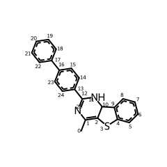 CC1=C2Sc3ccccc3C2NC(c2ccc(-c3ccccc3)cc2)=N1